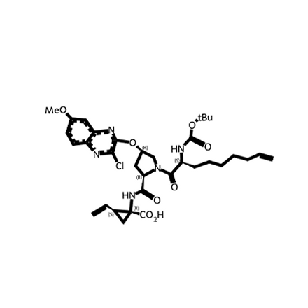 C=CCCCCC[C@H](NC(=O)OC(C)(C)C)C(=O)N1C[C@H](Oc2nc3cc(OC)ccc3nc2Cl)C[C@@H]1C(=O)N[C@]1(C(=O)O)C[C@H]1C=C